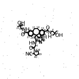 CC(C)(O)CNC(=O)c1ccc2c(c1)CCc1cc(C(=O)NCC(C)(C)O)ccc1C2(CCNCC(=O)N1CCC[C@H]1C#N)c1nnn[nH]1